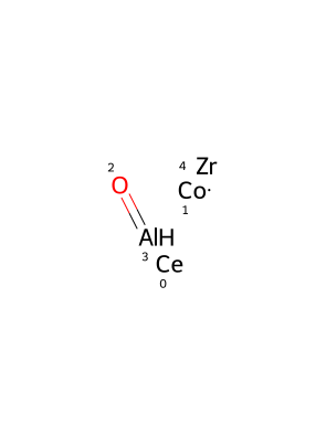 [Ce].[Co].[O]=[AlH].[Zr]